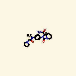 CN(C(=O)CN1CCCC1)c1ccc(N2C(=O)N3CCC[CH][C@@H]3C2C(N)=O)cc1